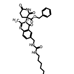 CCCCCCNC(=O)NCc1ccc2nc(C)n([C@@]3(C(=O)OCc4ccccc4)CCC(=O)NC3=O)c(=O)c2c1